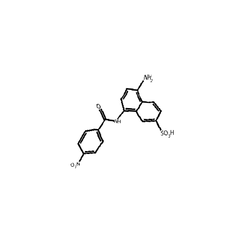 Nc1ccc(NC(=O)c2ccc([N+](=O)[O-])cc2)c2cc(S(=O)(=O)O)ccc12